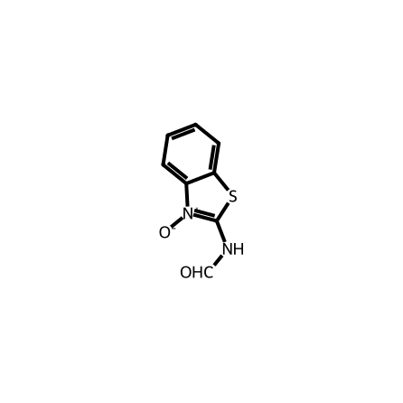 O=CNc1sc2ccccc2[n+]1[O-]